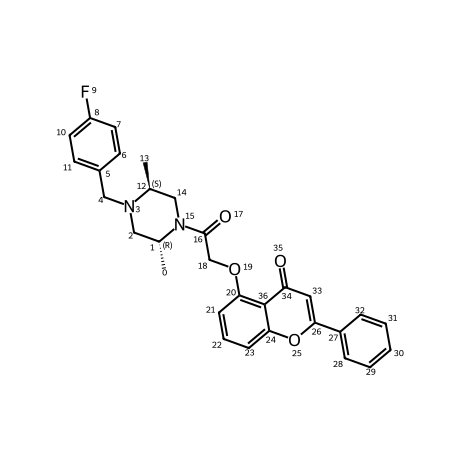 C[C@@H]1CN(Cc2ccc(F)cc2)[C@@H](C)CN1C(=O)COc1cccc2oc(-c3ccccc3)cc(=O)c12